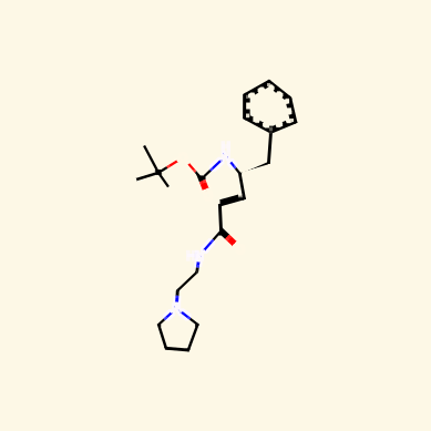 CC(C)(C)OC(=O)N[C@H](C=CC(=O)NCCN1CCCC1)Cc1ccccc1